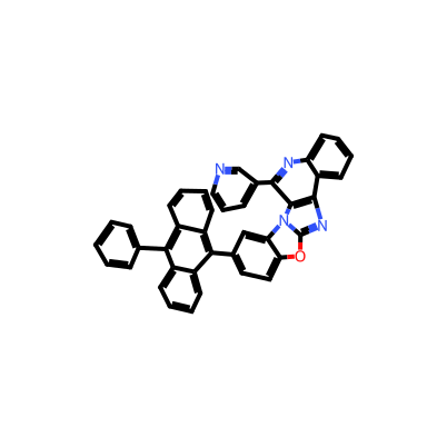 c1ccc(-c2c3ccccc3c(-c3ccc4oc5nc6c7ccccc7nc(-c7cccnc7)c6n5c4c3)c3ccccc23)cc1